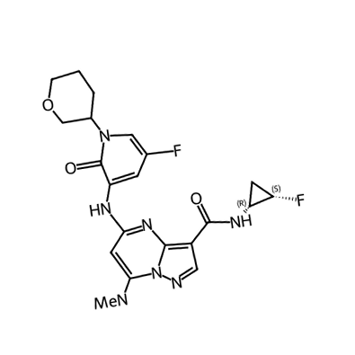 CNc1cc(Nc2cc(F)cn(C3CCCOC3)c2=O)nc2c(C(=O)N[C@@H]3C[C@@H]3F)cnn12